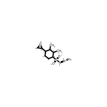 CC1C(C)C(S(=O)(=O)N=[N+]=[N-])CCC1C1CO1